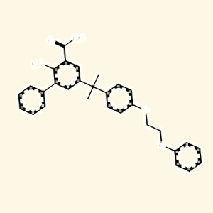 CC(C)(c1ccc(OCCOc2ccccc2)cc1)c1cc(C(=O)O)c(O)c(-c2ccccc2)c1